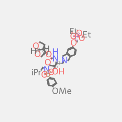 CCOP(=O)(COc1ccc2c(c1)CN(C[C@H](NC(=O)O[C@H]1CO[C@H]3OCC[C@H]31)[C@H](O)CN(CC(C)C)S(=O)(=O)c1ccc(OC)cc1)C2)OCC